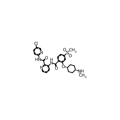 CN[C@H]1CC[C@@H](Oc2cc(S(C)(=O)=O)ccc2C(=O)Nc2cccnc2C(=O)Nc2ccc(Cl)cn2)CC1